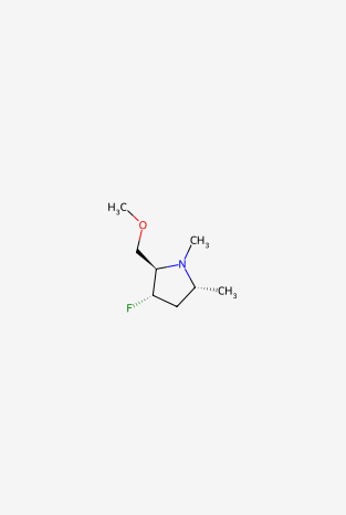 COC[C@@H]1[C@@H](F)C[C@@H](C)N1C